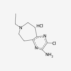 CCN1CCc2nc(N)c(Cl)nc2CC1.Cl